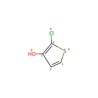 Oc1ccsc1Cl